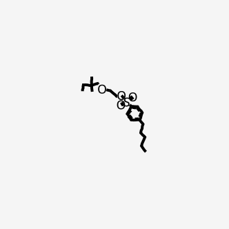 CCCCCc1ccc(S(=O)(=O)OCCOCC(C)(C)CC)cc1